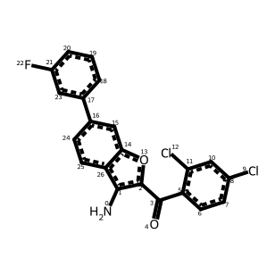 Nc1c(C(=O)c2ccc(Cl)cc2Cl)oc2cc(-c3cccc(F)c3)ccc12